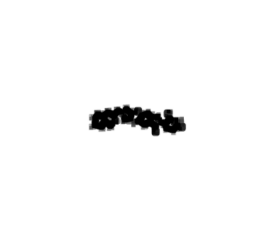 O=C1CCC(N2Cc3cc(O[C@H]4CCN(Cc5cc6ccccc6cn5)C4)c(F)cc3C2=O)C(=O)N1